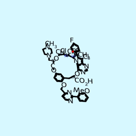 C=C1O[C@H](CN2CCN(C)CC2)COc2ccc(OCc3ccnc(-c4ccccc4OC)n3)c(c2)C[C@@H](C(=O)O)Oc2ncnc3c(Cl)c(-c4ccc(F)cc4)n(c23)C(=C(\C)Cl)/C(C)=C\1Cl